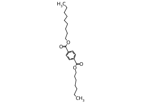 CCCCCCCCCOC(=O)c1ccc(C(=O)OCCCCCCC)cc1